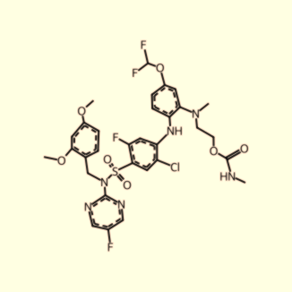 CNC(=O)OCCN(C)c1cc(OC(F)F)ccc1Nc1cc(F)c(S(=O)(=O)N(Cc2ccc(OC)cc2OC)c2ncc(F)cn2)cc1Cl